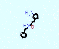 Nc1cccc(CCC(=O)NC=Cc2ccccc2)c1